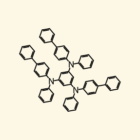 c1ccc(-c2ccc(N(c3ccccc3)c3cc(N(c4ccccc4)c4ccc(-c5ccccc5)cc4)cc(N(c4ccccc4)c4ccc(-c5ccccc5)cc4)c3)cc2)cc1